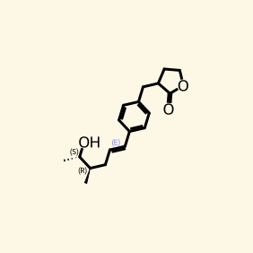 C[C@H](O)[C@H](C)C/C=C/c1ccc(CC2CCOC2=O)cc1